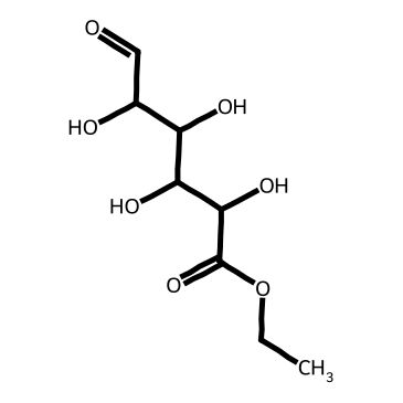 CCOC(=O)C(O)C(O)C(O)C(O)C=O